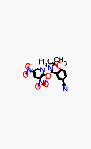 CC1(C)N=C(Oc2ncc([N+](=O)[O-])cc2[N+](=O)[O-])c2cc(C#N)ccc2O1